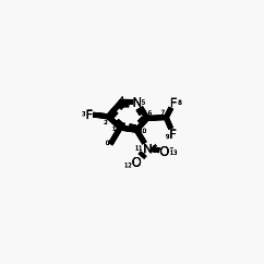 Cc1c(F)cnc(C(F)F)c1[N+](=O)[O-]